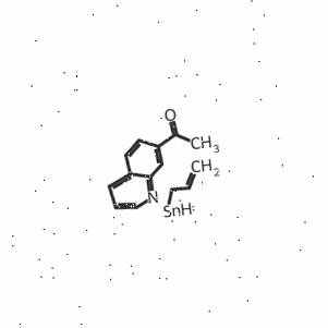 C=C[CH2][SnH].CC(=O)c1ccc2cccnc2c1